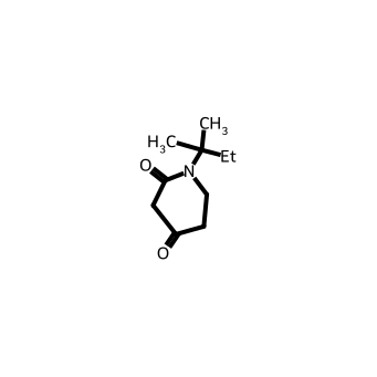 CCC(C)(C)N1CCC(=O)CC1=O